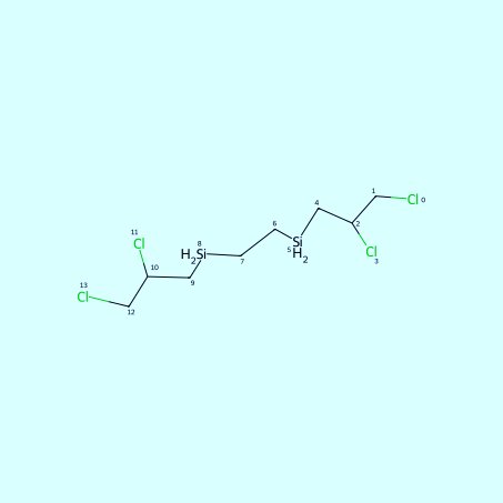 ClCC(Cl)C[SiH2]CC[SiH2]CC(Cl)CCl